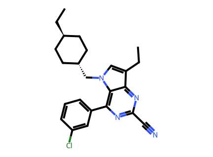 CCc1cn(C[C@H]2CC[C@H](CC)CC2)c2c(-c3cccc(Cl)c3)nc(C#N)nc12